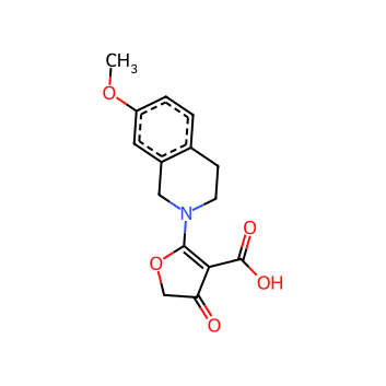 COc1ccc2c(c1)CN(C1=C(C(=O)O)C(=O)CO1)CC2